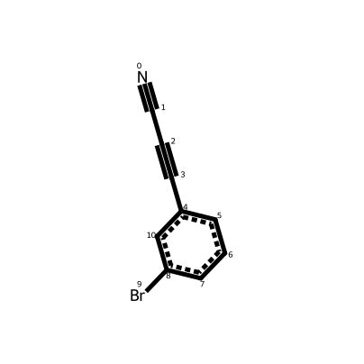 N#CC#Cc1cccc(Br)c1